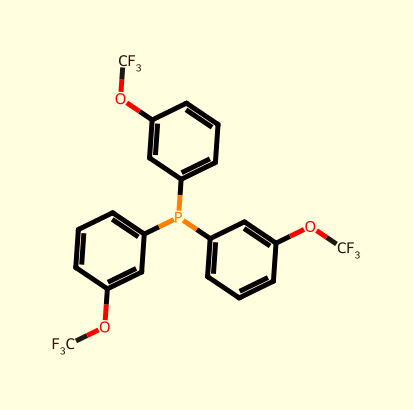 FC(F)(F)Oc1cccc(P(c2cccc(OC(F)(F)F)c2)c2cccc(OC(F)(F)F)c2)c1